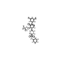 CCC1(COc2c(N3CCN(S(=O)(=O)Cc4ccccc4)CC3)cnn(-c3cc(F)cc(F)c3)c2=O)CC1